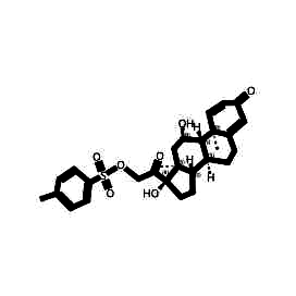 Cc1ccc(S(=O)(=O)OCC(=O)[C@@]2(O)CC[C@H]3[C@@H]4CCC5=CC(=O)C=C[C@]5(C)[C@H]4[C@H](O)C[C@@]32C)cc1